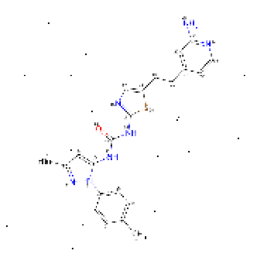 Cc1ccc(-n2nc(C(C)(C)C)cc2NC(=O)Nc2ncc(CCc3ccnc(N)c3)s2)cc1